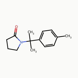 Cc1ccc(C(C)(C)N2CCCC2=O)cc1